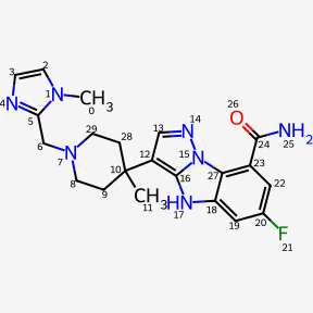 Cn1ccnc1CN1CCC(C)(c2cnn3c2[nH]c2cc(F)cc(C(N)=O)c23)CC1